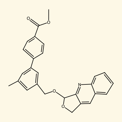 COC(=O)c1ccc(-c2cc(C)cc(COC3OCc4cc5ccccc5nc43)c2)cc1